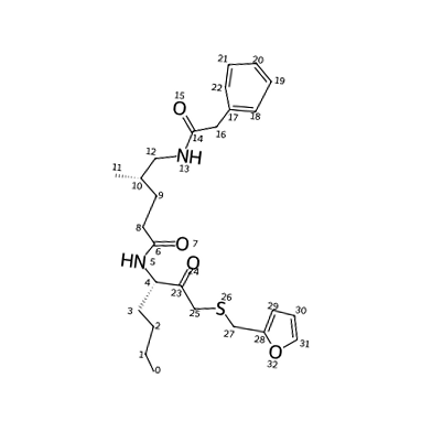 CCCC[C@H](NC(=O)CC[C@H](C)CNC(=O)Cc1ccccc1)C(=O)CSCc1ccco1